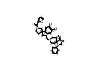 O=C(c1ccco1)N1CCC(CCCN2CCC3(CC2)C(=O)NCN3c2ccccc2)(c2ccc(Cl)c(Cl)c2)C1